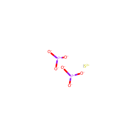 [O-][I+2]([O-])[O-].[O-][I+2]([O-])[O-].[S+2]